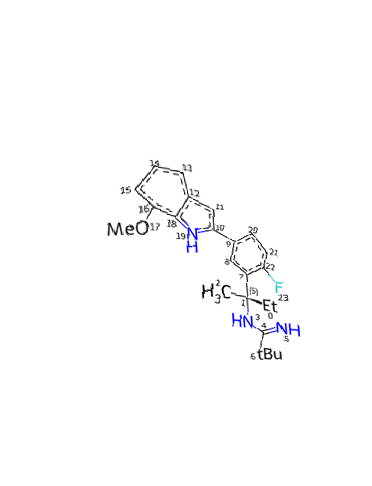 CC[C@](C)(NC(=N)C(C)(C)C)c1cc(-c2cc3cccc(OC)c3[nH]2)ccc1F